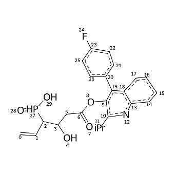 C=CC(C(O)CC(=O)Oc1c(C(C)C)nc2ccccc2c1-c1ccc(F)cc1)[PH](=O)O